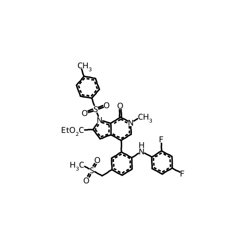 CCOC(=O)c1cc2c(-c3cc(CS(C)(=O)=O)ccc3Nc3ccc(F)cc3F)cn(C)c(=O)c2n1S(=O)(=O)c1ccc(C)cc1